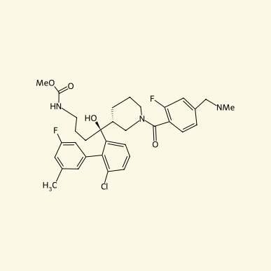 CNCc1ccc(C(=O)N2CCC[C@@H]([C@@](O)(CCCNC(=O)OC)c3cccc(Cl)c3-c3cc(C)cc(F)c3)C2)c(F)c1